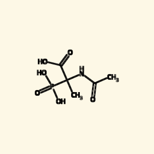 CC(=O)NC(C)(C(=O)O)P(=O)(O)O